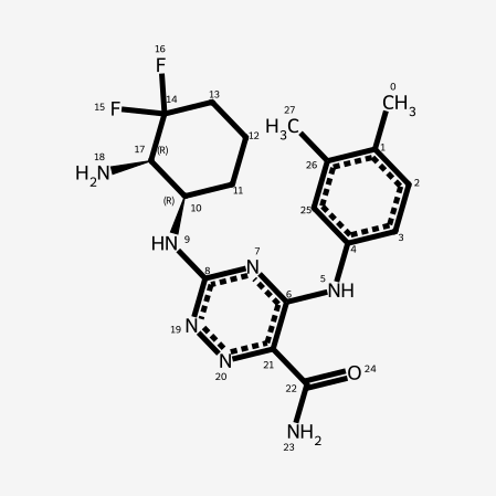 Cc1ccc(Nc2nc(N[C@@H]3CCCC(F)(F)[C@@H]3N)nnc2C(N)=O)cc1C